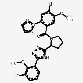 COc1cc(C(=O)N2CCCC2c2nnc(-c3cccc(F)c3OC)[nH]2)c(-n2nccn2)cc1Cl